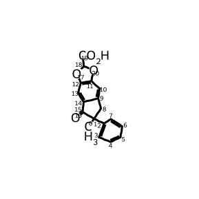 CC1(c2ccccc2)Cc2cc3c(cc2C1=O)OC(C(=O)O)O3